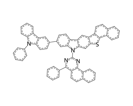 c1ccc(-c2nc(-n3c4cc(-c5ccc6c(c5)c5ccccc5n6-c5ccccc5)ccc4c4cc5c(cc43)sc3c4ccccc4ccc53)nc3c2ccc2ccccc23)cc1